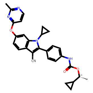 Cc1nccc(Oc2ccc3c(C#N)c(-c4ccc(NC(=O)O[C@H](C)C5CC5)cc4)n(C4CC4)c3c2)n1